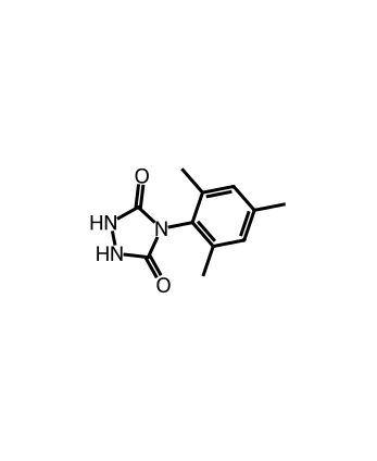 Cc1cc(C)c(-n2c(=O)[nH][nH]c2=O)c(C)c1